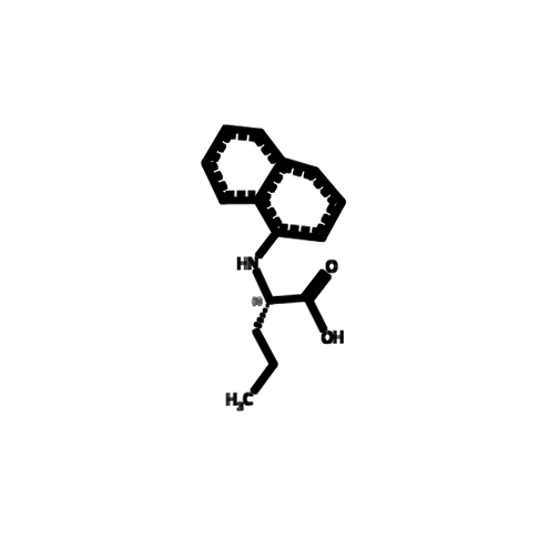 CCC[C@H](Nc1cccc2ccccc12)C(=O)O